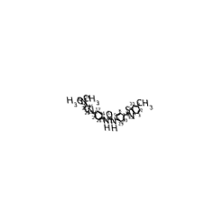 Cc1ccc2nc(-c3ccc(NC(=O)Nc4ccc(N5CCC(N(C)C)C5)cc4)cc3)sc2c1